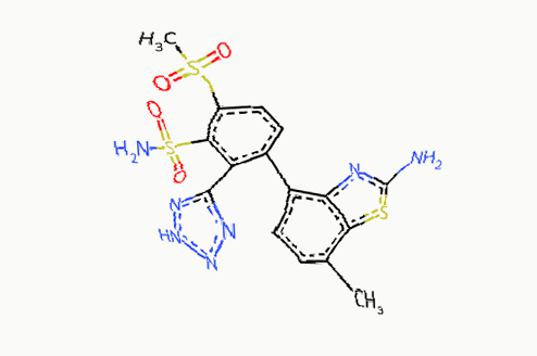 Cc1ccc(-c2ccc(S(C)(=O)=O)c(S(N)(=O)=O)c2-c2nn[nH]n2)c2nc(N)sc12